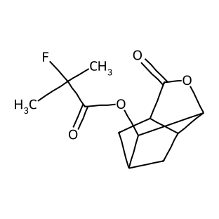 CC(C)(F)C(=O)OC1C2CC3C(=O)OC1C3C2